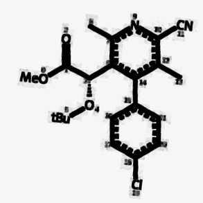 COC(=O)[C@@H](OC(C)(C)C)c1c(C)nc(C#N)c(C)c1-c1ccc(Cl)cc1